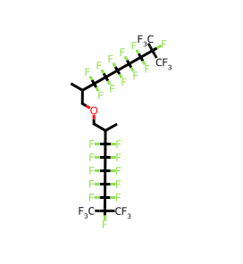 CC(COCC(C)C(F)(F)C(F)(F)C(F)(F)C(F)(F)C(F)(F)C(F)(C(F)(F)F)C(F)(F)F)C(F)(F)C(F)(F)C(F)(F)C(F)(F)C(F)(F)C(F)(C(F)(F)F)C(F)(F)F